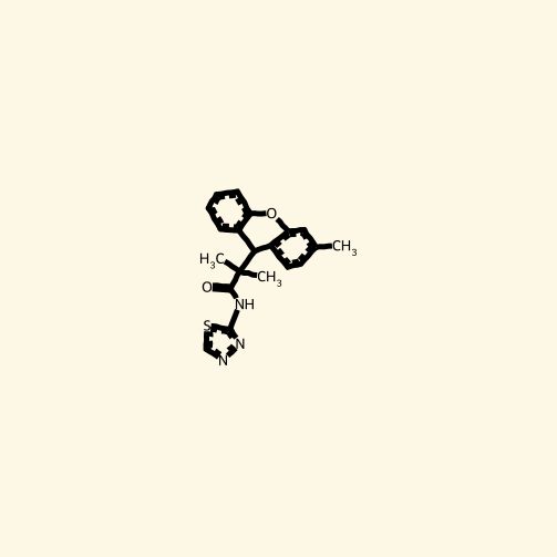 Cc1ccc2c(c1)Oc1ccccc1C2C(C)(C)C(=O)Nc1nncs1